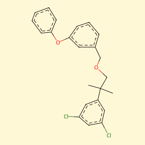 CC(C)(COCc1cccc(Oc2ccccc2)c1)c1cc(Cl)cc(Cl)c1